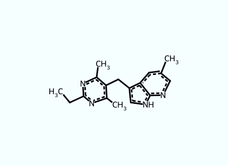 CCc1nc(C)c(Cc2c[nH]c3ncc(C)cc23)c(C)n1